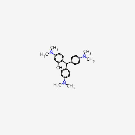 Cc1cc(N(C)C)ccc1C(c1ccc(N(C)C)cc1)c1ccc(N(C)C)cc1